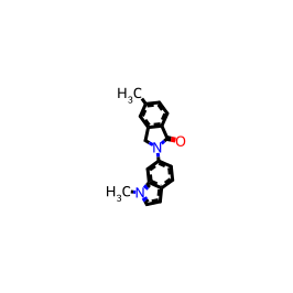 Cc1ccc2c(c1)CN(c1ccc3ccn(C)c3c1)C2=O